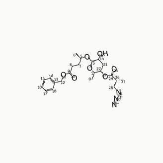 CC1O[C@@H](O[C@H](C)CCC(=O)OCc2ccccc2)C(O)C[C@H]1OC(=O)[C@H](C)CN=[N+]=[N-]